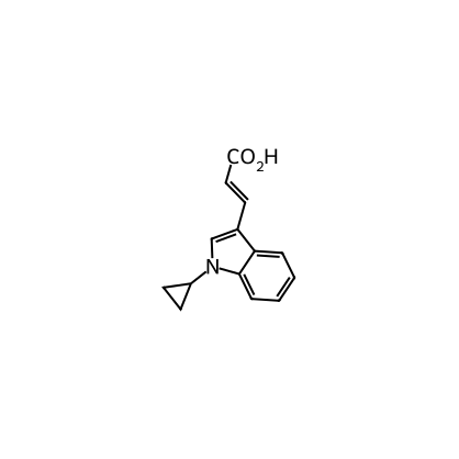 O=C(O)C=Cc1cn(C2CC2)c2ccccc12